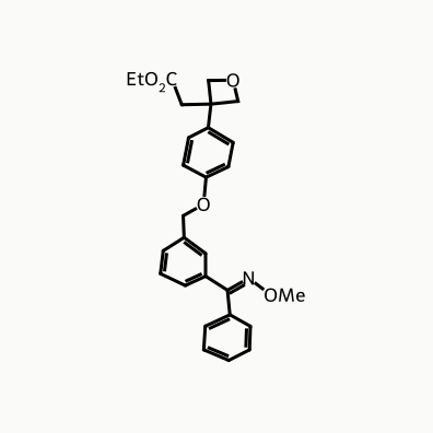 CCOC(=O)CC1(c2ccc(OCc3cccc(C(=NOC)c4ccccc4)c3)cc2)COC1